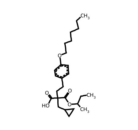 CCCCCCCOc1ccc(CCC(CC2CC2)(C(=O)O)C(=O)OC(C)CC)cc1